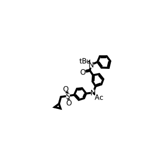 CC(=O)N(c1ccc(S(=O)(=O)CC2CC2)cc1)c1cccc(C(=O)N(c2ccccc2)C(C)(C)C)c1